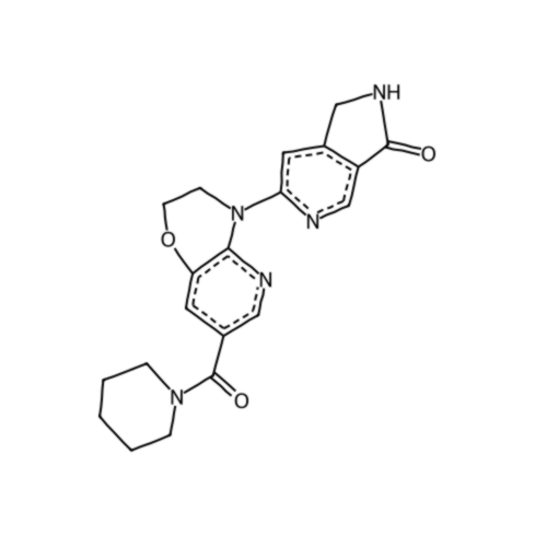 O=C1NCc2cc(N3CCOc4cc(C(=O)N5CCCCC5)cnc43)ncc21